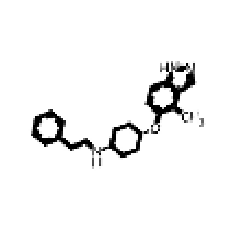 Cc1c(O[C@H]2CC[C@H](NCCc3ccccc3)CC2)ccc2[nH]ncc12